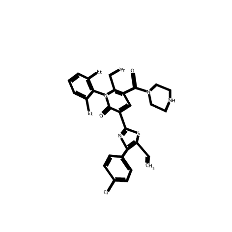 C=Cc1sc(-c2cc(C(=O)N3CCNCC3)c(CC(C)C)n(-c3c(CC)cccc3CC)c2=O)nc1-c1ccc(Cl)cc1